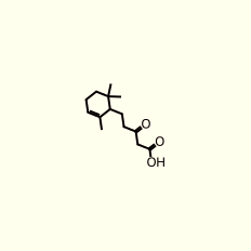 CC1=CCCC(C)(C)C1CCC(=O)CC(=O)O